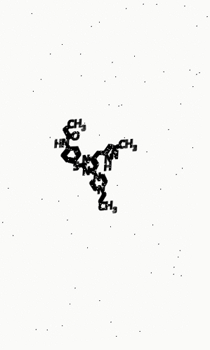 CCCN1CCN(c2cc(Cc3cc(C)n[nH]3)nc(Sc3ccc(NC(=O)CC)cc3)n2)CC1